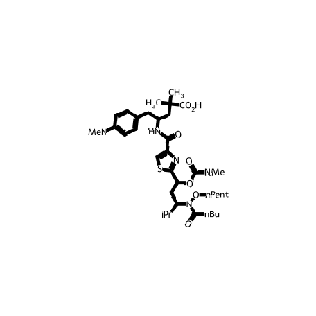 CCCCCON(C(=O)CCCC)C(CC(OC(=O)NC)c1nc(C(=O)NC(Cc2ccc(NC)cc2)CC(C)(C)C(=O)O)cs1)C(C)C